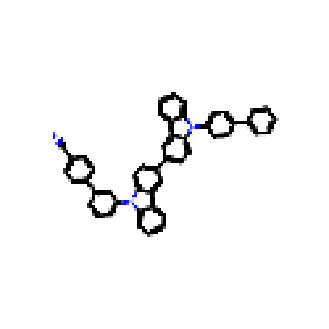 N#Cc1ccc(-c2cccc(-n3c4ccccc4c4cc(-c5ccc6c(c5)c5ccccc5n6-c5ccc(-c6ccccc6)cc5)ccc43)c2)cc1